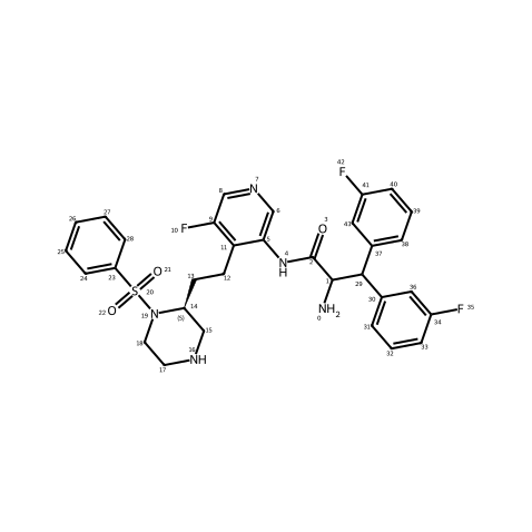 NC(C(=O)Nc1cncc(F)c1CC[C@H]1CNCCN1S(=O)(=O)c1ccccc1)C(c1cccc(F)c1)c1cccc(F)c1